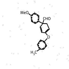 COc1ccc(C2(C=O)C=CC(Oc3ccc(C)cc3)=CC2)cc1